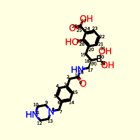 O=C(Cc1ccc(CN2CCNCC2)cc1)NC[C@@H](Cc1cccc(C(=O)O)c1O)B(O)O